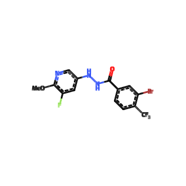 COc1ncc(NNC(=O)c2ccc(C(F)(F)F)c(Br)c2)cc1F